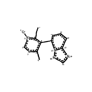 Cc1nc[n+]([O-])c(C)c1-c1cccc2ncnn12